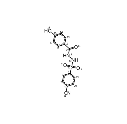 N#Cc1ccc(S(=O)(=O)NNC(=O)c2ccc(O)cc2)cc1